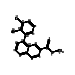 COC(=O)c1ccc2cccc(-c3cccc(Cl)c3Cl)c2c1